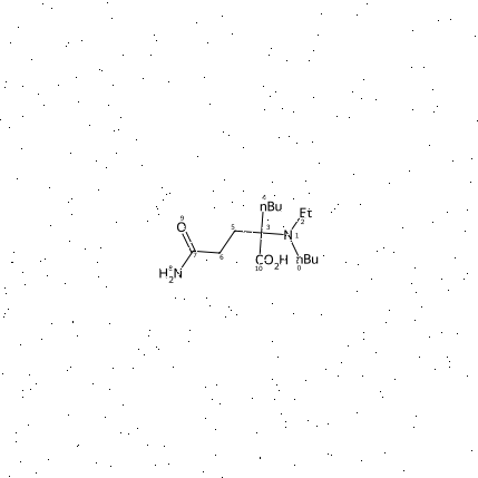 CCCCN(CC)C(CCCC)(CCC(N)=O)C(=O)O